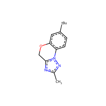 Cc1nc2n(n1)-c1ccc(C(C)(C)C)cc1OC2